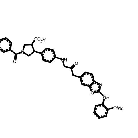 COc1ccccc1Nc1nc2ccc(CC(=O)CNc3ccc(C4CN(C(=O)c5ccccc5)CC4C(=O)O)cc3)cc2o1